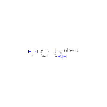 CCCCCc1nc(-c2ccc(N)cc2)c[nH]1